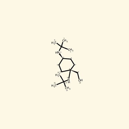 CC(C)(C)N[C@H]1CC[C@](CO)(NC(C)(C)C)CC1